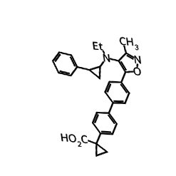 CCN(c1c(C)noc1-c1ccc(-c2ccc(C3(C(=O)O)CC3)cc2)cc1)C1CC1c1ccccc1